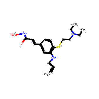 C=CCNc1cc(/C=C/C(=O)NO)ccc1SCCN(CC)CC